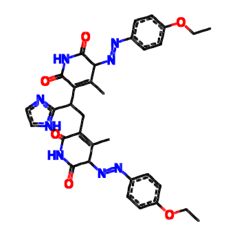 CCOc1ccc(N=NC2C(=O)NC(=O)C(CC(C3=C(C)C(N=Nc4ccc(OCC)cc4)C(=O)NC3=O)c3ncc[nH]3)=C2C)cc1